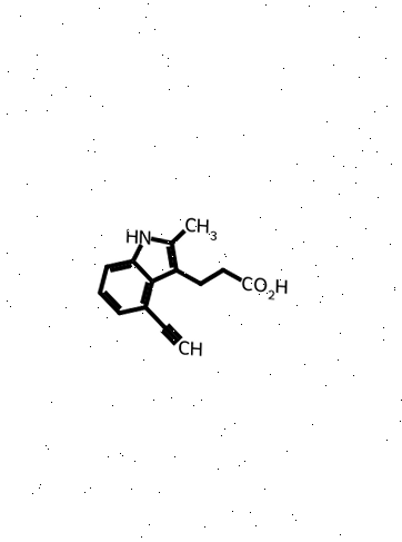 C#Cc1cccc2[nH]c(C)c(CCC(=O)O)c12